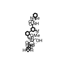 CNC(=O)[C@H](Cc1ccccc1)NC(=O)c1cc(-c2cccc(CN3O[C@@H](CO)[C@@H]([C@H](C)O)[C@H]3C(=O)N[C@H]3C[C@H]4C[C@@H]([C@@H]3C)C4(C)C)c2OC)cc(N(C)C)c1